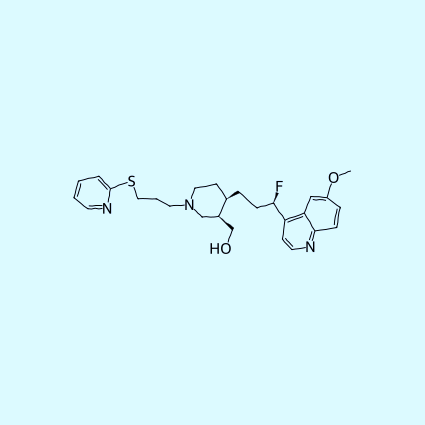 COc1ccc2nccc([C@H](F)CC[C@@H]3CCN(CCCSc4ccccn4)C[C@@H]3CO)c2c1